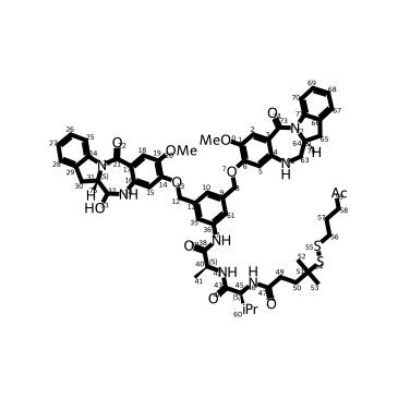 COc1cc2c(cc1OCc1cc(COc3cc4c(cc3OC)C(=O)N3c5ccccc5C[C@H]3C(O)N4)cc(NC(=O)[C@H](C)NC(=O)[C@@H](NC(=O)CCC(C)(C)SSCCCC(C)=O)C(C)C)c1)NC[C@@H]1Cc3ccccc3N1C2=O